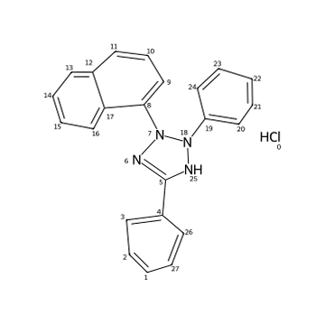 Cl.c1ccc(C2=NN(c3cccc4ccccc34)N(c3ccccc3)N2)cc1